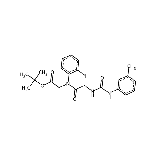 Cc1cccc(NC(=O)NCC(=O)N(CC(=O)OC(C)(C)C)c2ccccc2I)c1